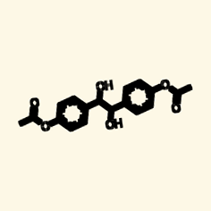 CC(=O)Oc1ccc(C(O)C(O)c2ccc(OC(C)=O)cc2)cc1